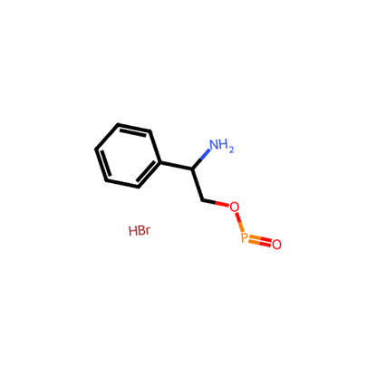 Br.NC(COP=O)c1ccccc1